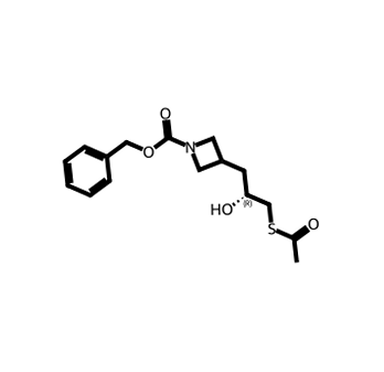 CC(=O)SC[C@H](O)CC1CN(C(=O)OCc2ccccc2)C1